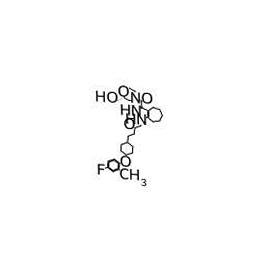 Cc1cc(F)ccc1OC1CCC(CCC(=O)CNC2=C(C(=N)C(=O)N3CCO[C@@H](CO)C3)CCCCC2)CC1